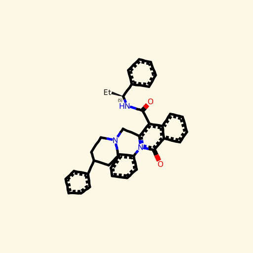 CC[C@H](NC(=O)c1c(CN2CCC(c3ccccc3)CC2)n(-c2ccccc2)c(=O)c2ccccc12)c1ccccc1